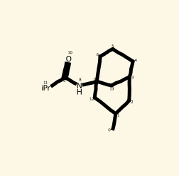 CC1CC2CCCC(NC(=O)C(C)C)(C1)C2